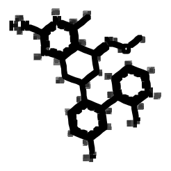 CO/N=C1\CC(c2ccc(F)cc2-c2cccnc2F)Cc2nc(N)nc(C)c21